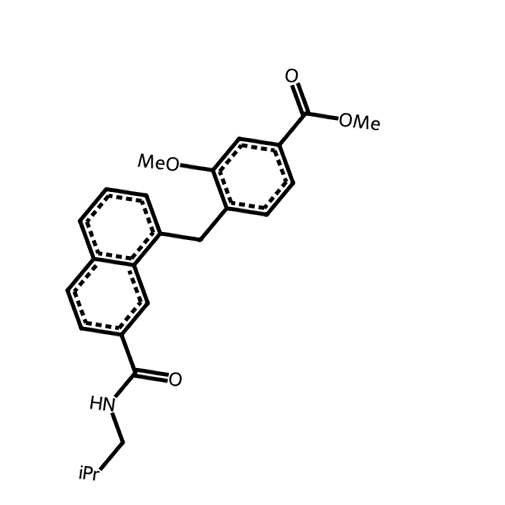 COC(=O)c1ccc(Cc2cccc3ccc(C(=O)NCC(C)C)cc23)c(OC)c1